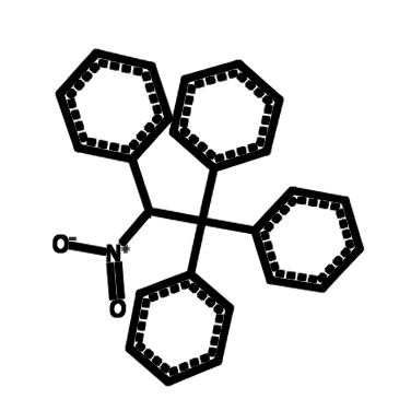 O=[N+]([O-])[C](c1ccccc1)C(c1ccccc1)(c1ccccc1)c1ccccc1